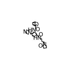 CN1CCN(c2ccc(C(=O)NCCCN3CCCC3=O)cc2NC(=O)c2ccco2)CC1